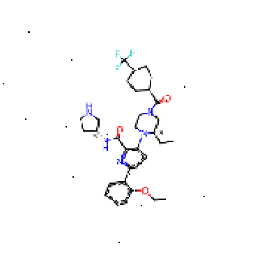 CCOc1ccccc1-c1ccc(N2CCN(C(=O)[C@H]3CC[C@@H](C(F)(F)F)CC3)C[C@H]2CC)c(C(=O)N[C@@H]2CCNC2)n1